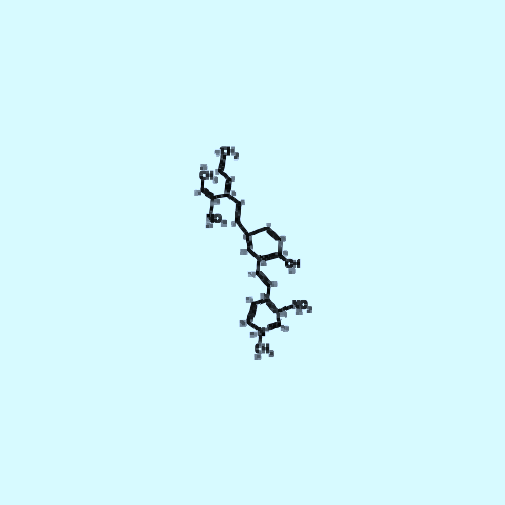 C=C/C=C(/C=C/c1ccc(O)c(/C=C/c2cc[n+](C)cc2[N+](=O)[O-])c1)C(=C/C)\[N+](=O)[O-]